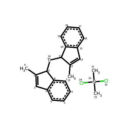 CC1=Cc2ccccc2[CH]1[Ti][CH]1C(C)=Cc2ccccc21.C[Si](C)(Cl)Cl